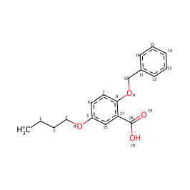 CCCCOc1ccc(OCc2ccccc2)c(C(=O)O)c1